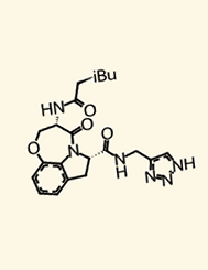 CC[C@H](C)CC(=O)N[C@H]1COc2cccc3c2N(C1=O)[C@H](C(=O)NCc1c[nH]nn1)C3